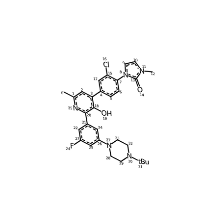 Cc1cc(-c2ccc(-n3ccn(C)c3=O)c(Cl)c2)c(O)c(-c2cc(F)cc(N3CCN(C(C)(C)C)CC3)c2)n1